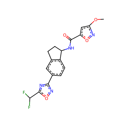 COc1cc(C(=O)NC2CCc3cc(-c4noc(C(F)F)n4)ccc32)on1